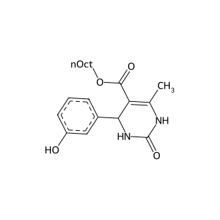 CCCCCCCCOC(=O)C1=C(C)NC(=O)NC1c1cccc(O)c1